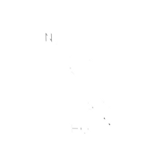 N#Cc1ccc(Cc2cnc(O)s2)cc1